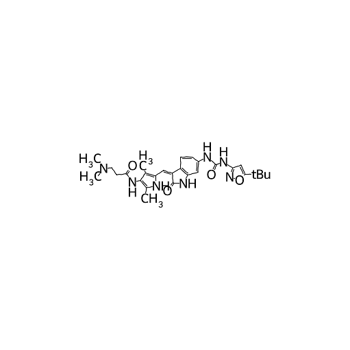 Cc1[nH]c(/C=C2\C(=O)Nc3cc(NC(=O)Nc4cc(C(C)(C)C)on4)ccc32)c(C)c1NC(=O)CCN(C)C